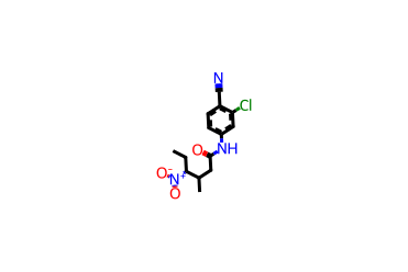 CCC(C(C)CC(=O)Nc1ccc(C#N)c(Cl)c1)[N+](=O)[O-]